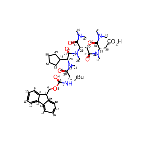 CC[C@H](C)[C@H](NC(=O)OCC1c2ccccc2-c2ccccc21)C(=O)N(C)[C@H](C(=O)N(C)[C@@H](CC(=O)N(C)[C@@H](CC(=O)O)C(=O)N(C)C)C(=O)N(C)C)C1CCCC1